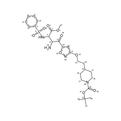 COC(=O)C(NS(=O)(=O)c1ccccc1)C(N)C(=O)c1cc(OCCC2CCN(C(=O)OC(C)(C)C)CC2)no1